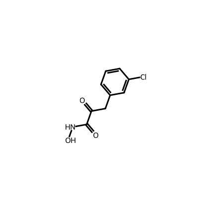 O=C(Cc1cccc(Cl)c1)C(=O)NO